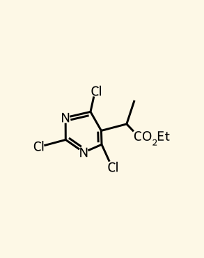 CCOC(=O)C(C)c1c(Cl)nc(Cl)nc1Cl